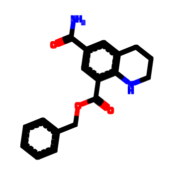 NC(=O)c1cc2c(c(C(=O)OCc3ccccc3)c1)NCCC2